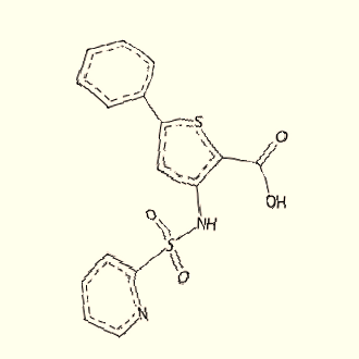 O=C(O)c1sc(-c2ccccc2)cc1NS(=O)(=O)c1ccccn1